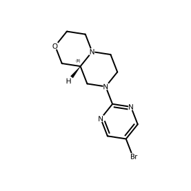 Brc1cnc(N2CCN3CCOC[C@H]3C2)nc1